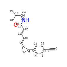 C#Cc1ccc(C2CC2C=CC=CC(=O)NC(C)C(C)C)cc1